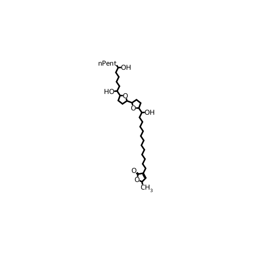 CCCCCC(O)CCCCC(O)C1CCC(C2CCC(C(O)CCCCCCCCCCCCC3=CC(C)OC3=O)O2)O1